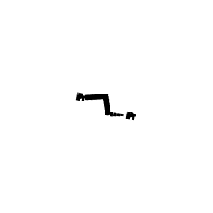 [CH2][C@@H](C)CCC(C)C